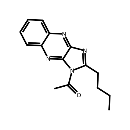 CCCCc1nc2nc3ccccc3nc2n1C(C)=O